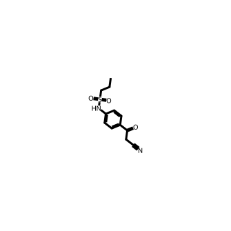 CCCS(=O)(=O)Nc1ccc(C(=O)CC#N)cc1